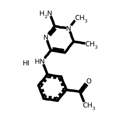 CC(=O)c1cccc(NC2=CC(C)N(C)C(N)=N2)c1.I